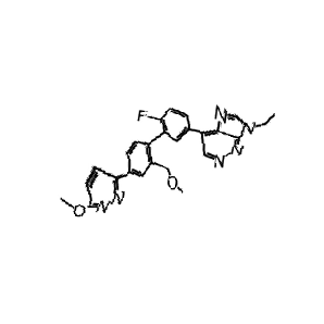 CCn1cnc2c(-c3ccc(F)c(-c4ccc(-c5ccc(OC)nn5)cc4COC)c3)cnnc21